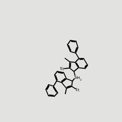 CCC1=C(C)c2c(cccc2-c2ccccc2)[C]1[SiH2][C]1C(CC)=C(C)c2c1cccc2-c1ccccc1